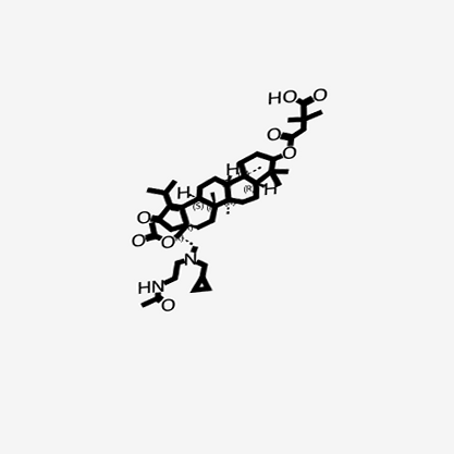 CC(=O)NCCN(CC1CC1)C[C@H](OC(C)=O)[C@@]12CC[C@]3(C)[C@H](CC[C@@H]4[C@@]5(C)CCC(OC(=O)CC(C)(C)C(=O)O)C(C)(C)[C@@H]5CC[C@]43C)C1=C(C(C)C)C(=O)C2